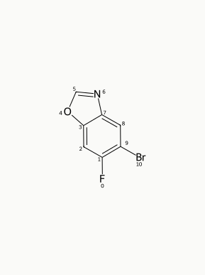 Fc1cc2ocnc2cc1Br